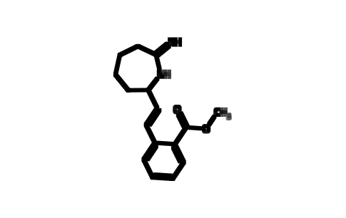 COC(=O)c1ccccc1/C=C/C1CCCCC(=N)N1